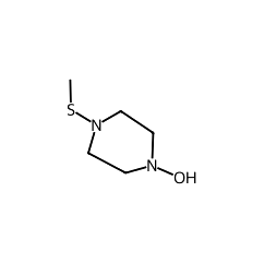 CSN1CCN(O)CC1